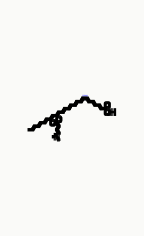 CCCCCCCCCC(CCCCCCCC/C=C\CCCCCC(=O)O)OC(=O)CCCN(C)C